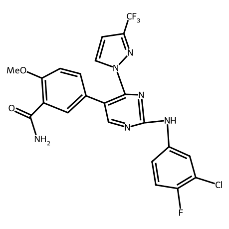 COc1ccc(-c2cnc(Nc3ccc(F)c(Cl)c3)nc2-n2ccc(C(F)(F)F)n2)cc1C(N)=O